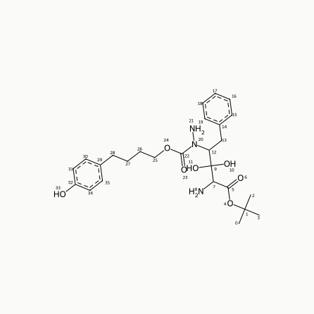 CC(C)(C)OC(=O)C(N)C(O)(O)C(Cc1ccccc1)N(N)C(=O)OCCCCc1ccc(O)cc1